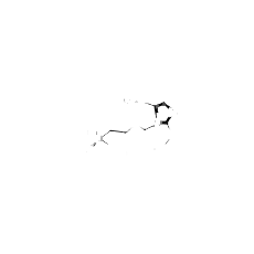 CCCSc1ncc(SC)n1COCC[Si](C)(C)C